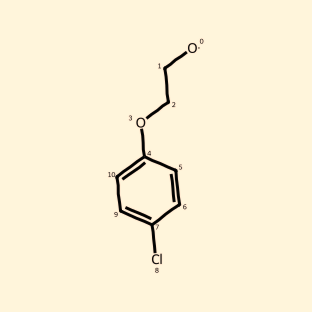 [O]CCOc1ccc(Cl)cc1